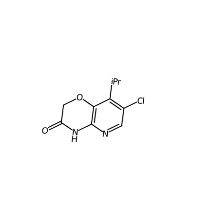 CC(C)c1c(Cl)cnc2c1OCC(=O)N2